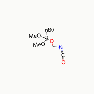 CCCC[Si](OC)(OC)OCN=C=O